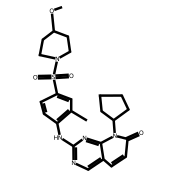 COC1CCN(S(=O)(=O)c2ccc(Nc3ncc4ccc(=O)n(C5CCCC5)c4n3)c(C)c2)CC1